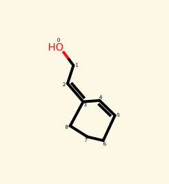 OCC=C1C=CCCC1